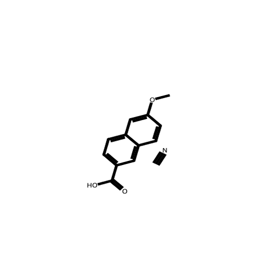 C#N.COc1ccc2cc(C(=O)O)ccc2c1